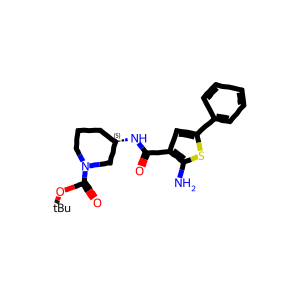 CC(C)(C)OC(=O)N1CCC[C@H](NC(=O)c2cc(-c3ccccc3)sc2N)C1